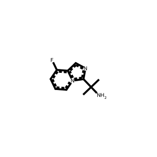 CC(C)(N)c1ncc2c(F)cccn12